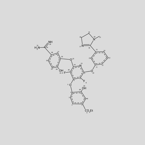 CCOC(=O)c1ccc(Oc2c(F)c(Oc3cccc(C4=NCCN4C)c3)nc(Oc3cc(C(=N)N)ccc3O)c2F)c(O)c1